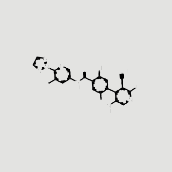 C#Cc1c(F)ncc(N)c1-c1cc(Cl)c(C(=O)Nc2cnc(-n3nccn3)c(Cl)c2)cc1F